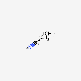 CC#N.[CH3]